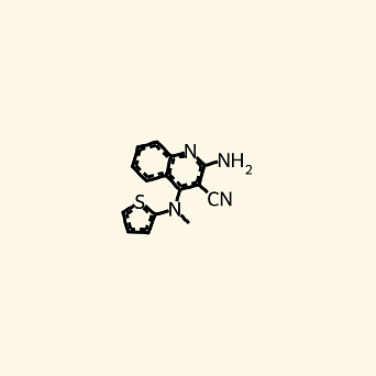 CN(c1cccs1)c1c(C#N)c(N)nc2ccccc12